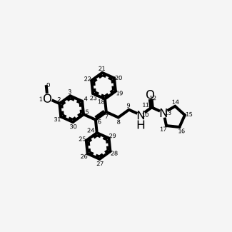 COc1ccc(C(=C(CCNC(=O)N2CCCC2)c2ccccc2)c2ccccc2)cc1